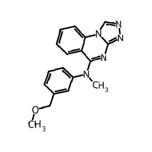 COCc1cccc(N(C)c2nc3nncn3c3ccccc23)c1